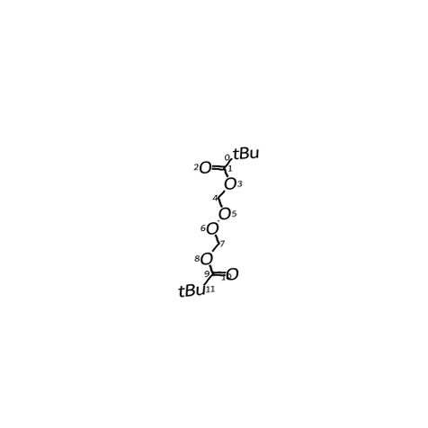 CC(C)(C)C(=O)OCOOCOC(=O)C(C)(C)C